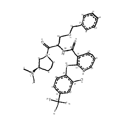 CN(C)[C@@H]1CCN(C(=O)C(COCc2ccccc2)NC(=O)c2cccnc2Oc2ccc(C(F)(F)F)cc2Cl)C1